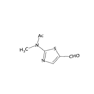 CC(=O)N(C)c1ncc(C=O)s1